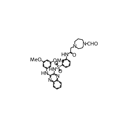 COc1cc(Nc2nc3ccccc3nc2NS(=O)(=O)c2cccc(NC(=O)CN3CCCN(C=O)CC3)c2)cc(OC)c1